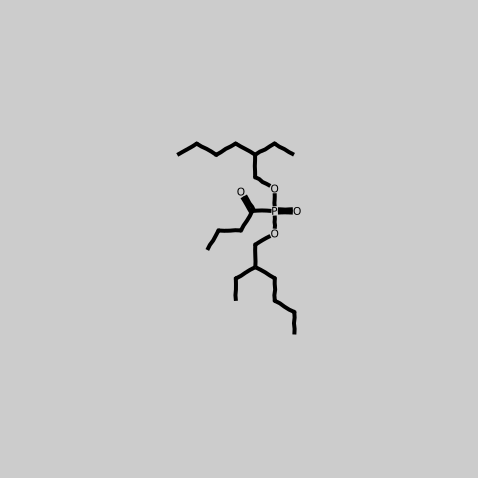 CCCCC(CC)COP(=O)(OCC(CC)CCCC)C(=O)CCC